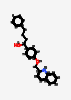 OC(CCCc1ccccc1)c1ccc(OCc2ccc3ccccc3n2)cc1